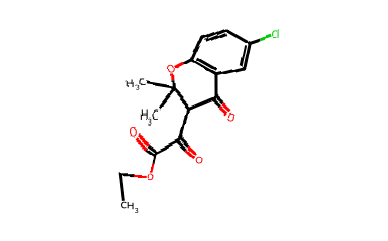 CCOC(=O)C(=O)C1C(=O)c2cc(Cl)ccc2OC1(C)C